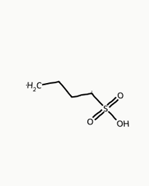 [CH2]CC[CH]S(=O)(=O)O